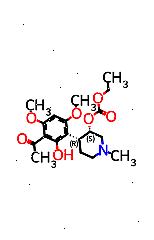 CCOC(=O)O[C@@H]1CN(C)CC[C@@H]1c1c(OC)cc(OC)c(C(C)=O)c1O